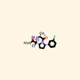 CCC(CC)(C(=O)NC)[C@H]1CC[C@@H](c2cccc(F)c2)N1C(=O)[C@@H](C)N